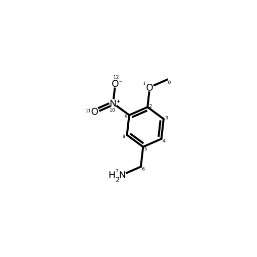 COc1ccc(CN)cc1[N+](=O)[O-]